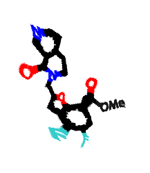 COC(=O)c1cc(F)c(F)c2cc(CN3CCc4ccncc4C3=O)oc12